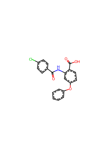 O=C(Nc1cc(Oc2ccccc2)ccc1C(=O)O)c1ccc(Cl)cc1